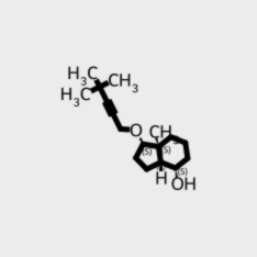 CC(C)(C)C#CCO[C@H]1CC[C@H]2[C@@H](O)CCC[C@]12C